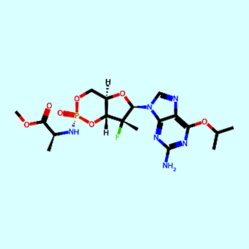 COC(=O)[C@H](C)N[P@]1(=O)OC[C@H]2O[C@@H](n3cnc4c(OC(C)C)nc(N)nc43)[C@](C)(F)[C@@H]2O1